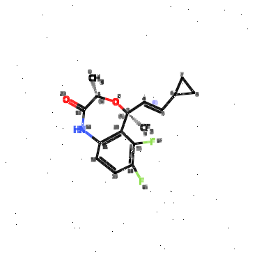 C[C@@H]1O[C@](/C=C/C2CC2)(C(F)(F)F)c2c(ccc(F)c2F)NC1=O